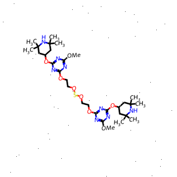 COc1nc(OCCOSOCCOc2nc(OC)nc(OC3CC(C)(C)NC(C)(C)C3)n2)nc(OC2CC(C)(C)NC(C)(C)C2)n1